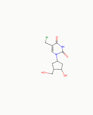 O=c1[nH]c(=O)n(C2CC(O)C(CO)C2)cc1CBr